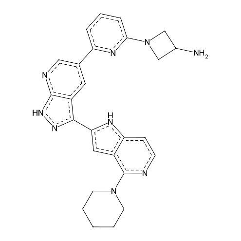 NC1CN(c2cccc(-c3cnc4[nH]nc(-c5cc6c(N7CCCCC7)nccc6[nH]5)c4c3)n2)C1